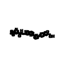 CS(=O)(=O)c1cncc(C(=O)NCc2cc3nc(-c4cccc(N5CCC6(CC5)CO[C@@H](CO)C6)n4)ccc3cn2)c1